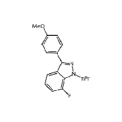 CCCn1nc(-c2ccc(OC)cc2)c2cccc(F)c21